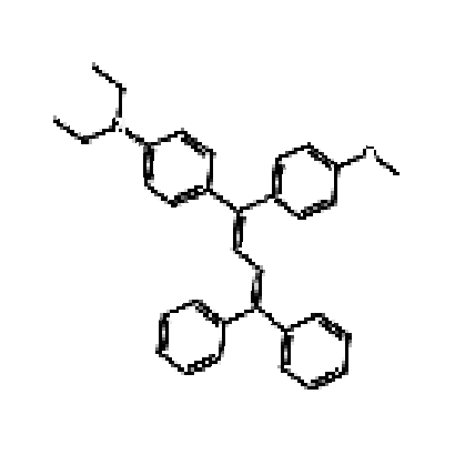 CCN(CC)c1ccc(C(=CC=C(c2ccccc2)c2ccccc2)c2ccc(OC)cc2)cc1